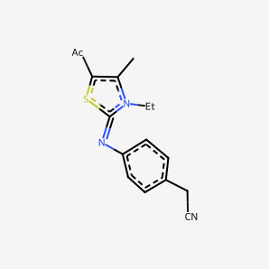 CCn1c(C)c(C(C)=O)s/c1=N/c1ccc(CC#N)cc1